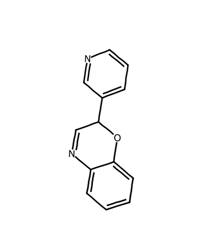 C1=Nc2ccccc2OC1c1cccnc1